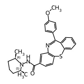 COc1ccc(C2=Nc3cc(C(=O)NN4[C@H](C)CCC[C@@H]4C)ccc3Sc3ccccc32)cc1